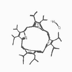 CC(C)C1=C(C(C)C)c2cc3[nH]c(cc4nc(cc5[nH]c(cc1n2)c(C(C)C)c5C(C)C)C(C(C)C)=C4C(C)C)c(C(C)C)c3C(C)C.[Al][Cl]